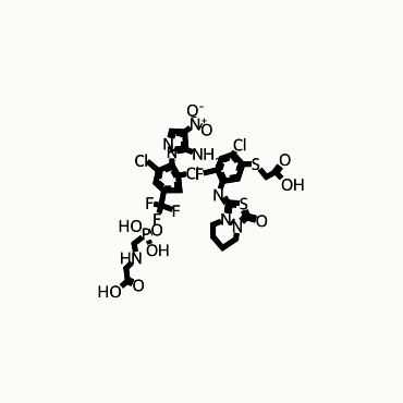 Nc1c([N+](=O)[O-])cnn1-c1c(Cl)cc(C(F)(F)F)cc1Cl.O=C(O)CNCP(=O)(O)O.O=C(O)CSc1cc(N=c2sc(=O)n3n2CCCC3)c(F)cc1Cl